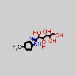 OCC(O)[C@H](O)C(O)C(O)c1nc2cc(C(F)(F)F)ccc2[nH]1